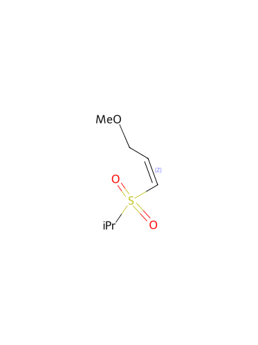 COC/C=C\S(=O)(=O)C(C)C